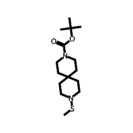 CSN1CCC2(CC1)CCN(C(=O)OC(C)(C)C)CC2